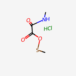 CNC(=O)C(=O)OSC.Cl